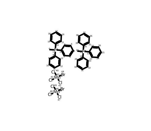 C[P+](c1ccccc1)(c1ccccc1)c1ccccc1.C[P+](c1ccccc1)(c1ccccc1)c1ccccc1.[Cl][Mn-]([Cl])([Cl])[Br].[Cl][Mn-]([Cl])([Cl])[Br]